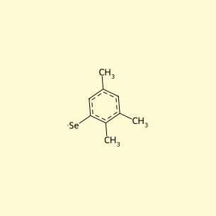 Cc1cc(C)c(C)c([Se])c1